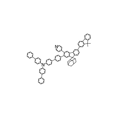 CC1(C)c2ccccc2-c2ccc(-c3ccc4c(c3)-c3cc(-c5ccncc5)c(-c5ccc(-c6ccc(N(c7ccc(-c8ccccc8)cc7)c7ccc(-c8ccccc8)cc7)cc6)cc5)cc3C43C4CC5CC(C4)CC3C5)cc21